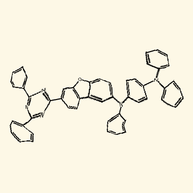 c1ccc(-c2nc(-c3ccccc3)nc(-c3ccc4c(c3)oc3ccc(N(c5ccccc5)c5ccc(N(c6ccccc6)c6ccccc6)cc5)cc34)n2)cc1